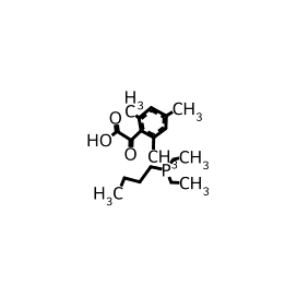 CCCCP(CC)CC.Cc1cc(C)c(C(=O)C(=O)O)c(C)c1